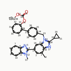 Cc1cc(-c2nc3ccccc3n2C)cc2c1nc(C1CC1)n2Cc1ccc(-c2ccccc2OC(=O)OC(C)(C)C)cc1